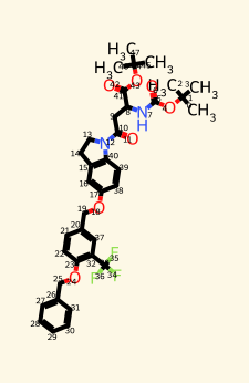 CC(C)(C)OC(=O)NC(CC(=O)N1CCc2cc(OCc3ccc(OCc4ccccc4)c(C(F)(F)F)c3)ccc21)C(=O)OC(C)(C)C